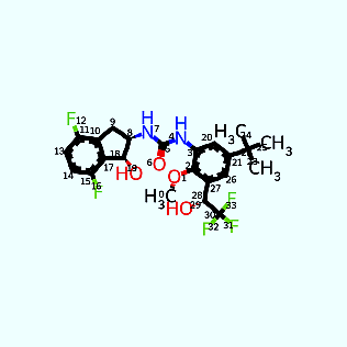 COc1c(NC(=O)N[C@@H]2Cc3c(F)ccc(F)c3[C@@H]2O)cc(C(C)(C)C)cc1[C@@H](O)C(F)(F)F